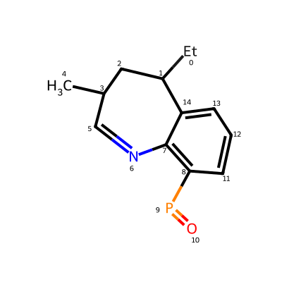 CCC1CC(C)C=Nc2c(P=O)cccc21